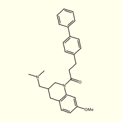 COc1ccc2c(c1)N(C(=O)CCc1ccc(-c3ccccc3)cc1)CC(CN(C)C)C2